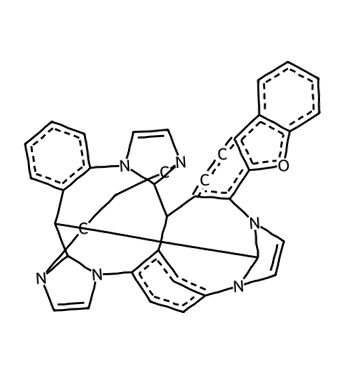 C1=CN2c3ccccc3C3C4N5C=CN4c4ccc6cc4C(c4ccc7c(oc8ccccc87)c4N4C=CN6C34)C2N1CCC5